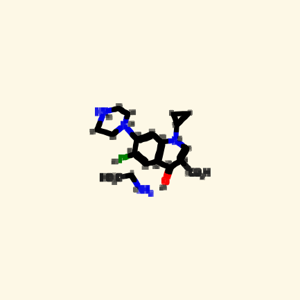 NCC(=O)O.O=C(O)c1cn(C2CC2)c2cc(N3CCNCC3)c(F)cc2c1=O